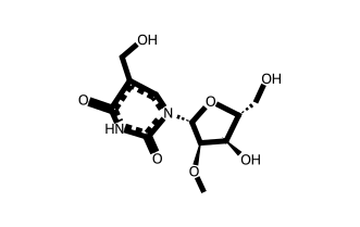 CO[C@@H]1[C@H](O)[C@@H](CO)O[C@H]1n1cc(CO)c(=O)[nH]c1=O